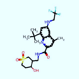 Cc1cc(C(=O)NCC2CS(=O)(=O)CCC2O)nc2c(C(C)(C)C)cc(NCC(F)(F)F)cc12